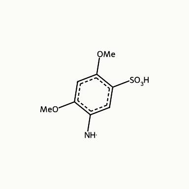 COc1cc(OC)c(S(=O)(=O)O)cc1[NH]